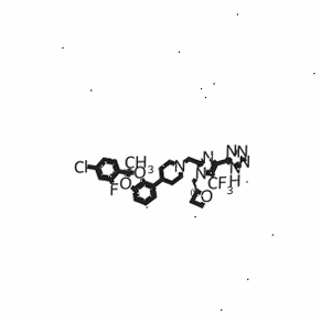 C[C@]1(c2ccc(Cl)cc2F)Oc2cccc(C3CCN(Cc4nc(-c5nnn[nH]5)c(C(F)(F)F)n4C[C@@H]4CCO4)CC3)c2O1